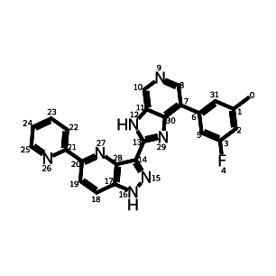 Cc1cc(F)cc(-c2cncc3[nH]c(-c4n[nH]c5ccc(-c6ccccn6)nc45)nc23)c1